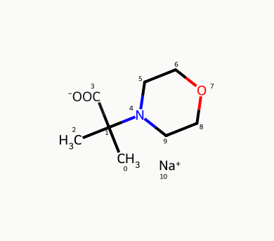 CC(C)(C(=O)[O-])N1CCOCC1.[Na+]